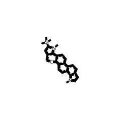 Cn1ccc2ccc3c4ccc5c(ccc6cc([Si](C)(C)C)n(C)c65)c4ccc3c21